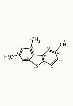 Cc1cc(C)c2c(c1)sc1ccc(C)cc12